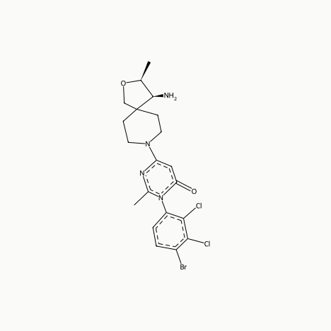 Cc1nc(N2CCC3(CC2)CO[C@@H](C)[C@H]3N)cc(=O)n1-c1ccc(Br)c(Cl)c1Cl